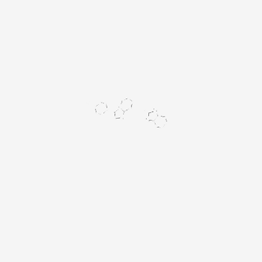 Clc1ccc(-c2cnc3c(CSc4nc5ccccc5[nH]4)cccn23)cc1